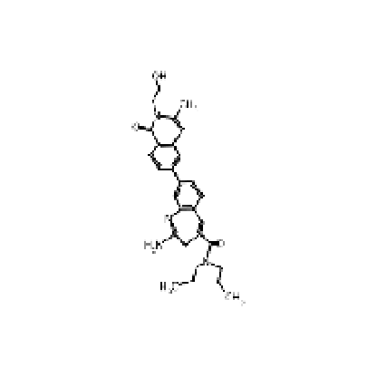 CCCN(CCC)C(=O)C1=Cc2ccc(-c3ccc4c(=O)n(CCO)c(C)cc4c3)cc2N=C(N)C1